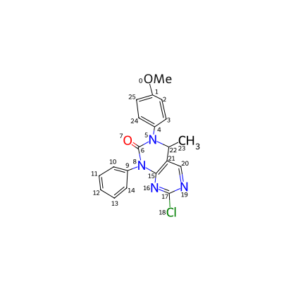 COc1ccc(N2C(=O)N(c3ccccc3)c3nc(Cl)ncc3C2C)cc1